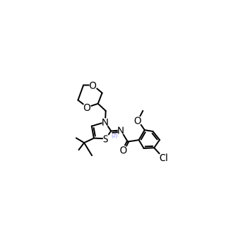 COc1ccc(Cl)cc1C(=O)/N=c1\sc(C(C)(C)C)cn1CC1COCCO1